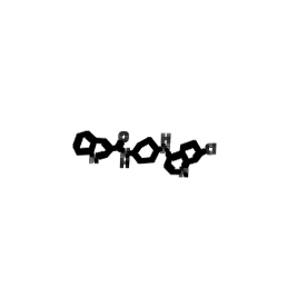 O=C(NC1CCC(Nc2ccnc3cc(Cl)ccc23)CC1)c1cnc2ccccc2c1